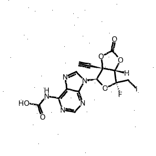 C#C[C@@]12OC(=O)O[C@@H]1[C@@](F)(CI)O[C@H]2n1cnc2c(NC(=O)O)ncnc21